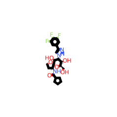 O=C(N[C@@H]1CCO[C@]12O[C@H](CO)[C@H](O)[C@H](n1cc(-c3cc(F)c(F)c(F)c3)nn1)[C@H]2O)C1CCCC1